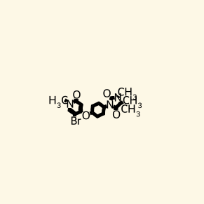 CN1C(=O)N(C2CCC(Oc3cc(=O)n(C)cc3Br)CC2)C(=O)C1(C)C